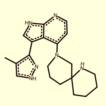 Cc1c[nH]nc1-c1c[nH]c2nccc(N3CCCC4(CCCCN4)C3)c12